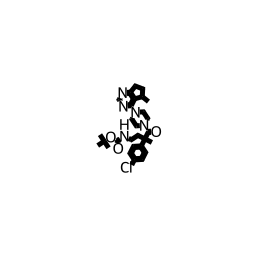 CC1CCc2ncnc(N3CCN(C(=O)C(C)(CCNC(=O)OC(C)(C)C)c4ccc(Cl)cc4)CC3)c21